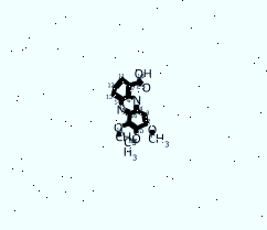 COc1cc2nc3c(C(=O)O)cccc3nc2c(OC)c1OC